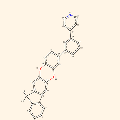 CC1(C)c2ccccc2-c2cc3c(cc21)Oc1ccc(-c2cccc(-c4ccncc4)c2)cc1O3